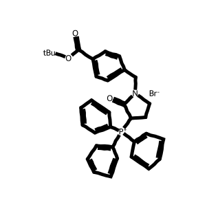 CC(C)(C)OC(=O)c1ccc(CN2CCC([P+](c3ccccc3)(c3ccccc3)c3ccccc3)C2=O)cc1.[Br-]